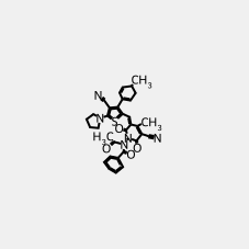 CC(=O)N(C(=O)c1ccccc1)N1C(=O)C(C#N)=C(C)/C(=C/c2sc(N3CCCC3)c(C#N)c2C2=CCC(C)C=C2)C1=O